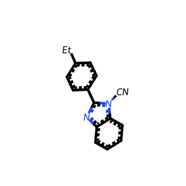 CCc1ccc(-c2nc3ccccc3n2C#N)cc1